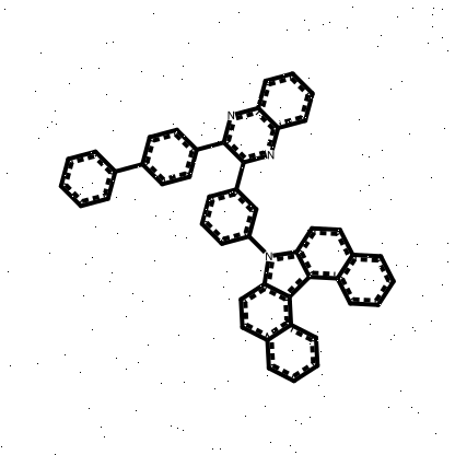 c1ccc(-c2ccc(-c3nc4ccccc4nc3-c3cccc(-n4c5ccc6ccccc6c5c5c6ccccc6ccc54)c3)cc2)cc1